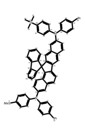 CSc1ccc(N(c2ccc(C(C)C)cc2)c2ccc3c4c(ccc3c2)-c2cc3ccc(N(c5ccc(C(C)C)cc5)c5ccc([Si](C)(C)C)cc5)cc3cc2C42c3ccccc3-c3ccccc32)cc1